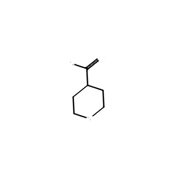 C=C(N)C1CCNCC1